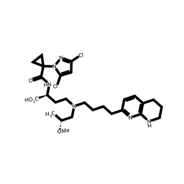 CO[C@H](C)CN(CCCCc1ccc2c(n1)NCCC2)CC[C@H](NC(=O)C1(n2nc(Cl)cc2Cl)CC1)C(=O)O